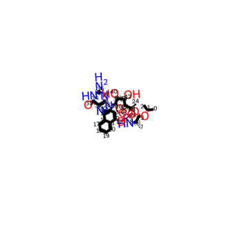 CC(C)OC(=O)[C@H](C)NP(=O)(Oc1cccc2ccccc12)O[C@H](C)[C@H]1O[C@@H](n2cnc3c(=O)[nH]c(N)nc32)[C@H](O)[C@@H]1O